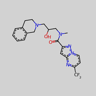 CN(CC(O)CN1CCc2ccccc2C1)C(=O)c1cc2nc(C(F)(F)F)ccn2n1